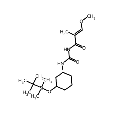 CO/C=C(\C)C(=O)NC(=O)N[C@H]1CCCC(O[Si](C)(C)C(C)(C)C)C1